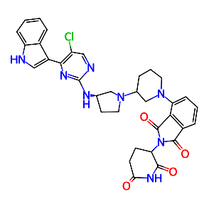 O=C1CCC(N2C(=O)c3cccc(N4CCCC(N5CC[C@@H](Nc6ncc(Cl)c(-c7c[nH]c8ccccc78)n6)C5)C4)c3C2=O)C(=O)N1